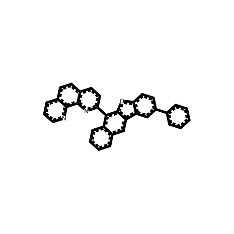 c1ccc(-c2ccc3oc4c(-c5ccc6ccc7cccnc7c6n5)c5ccccc5cc4c3c2)cc1